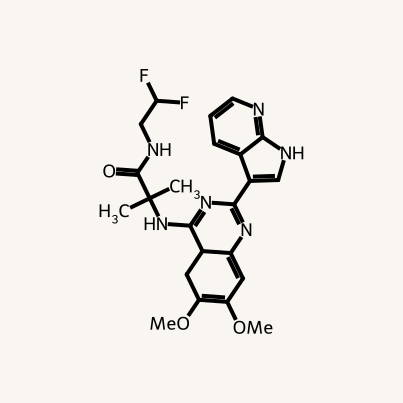 COC1=C(OC)CC2C(=C1)N=C(c1c[nH]c3ncccc13)N=C2NC(C)(C)C(=O)NCC(F)F